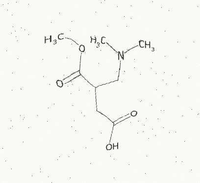 COC(=O)C(CC(=O)O)CN(C)C